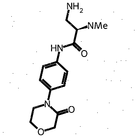 CN[C@H](CN)C(=O)Nc1ccc(N2CCOCC2=O)cc1